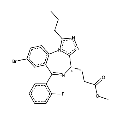 CCSc1nnc2n1-c1ccc(Br)cc1C(c1ccccc1F)=N[C@H]2CCC(=O)OC